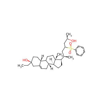 CC[C@]1(O)CC[C@H]2C(=CC[C@@H]3C2CC[C@]2(C)[C@@H]([C@H](C)CC(C[C@@H](C)O)S(=O)(=O)c4ccccc4)CC[C@@H]32)C1